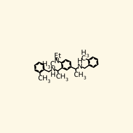 CCN(C)c1ccc(C(C)NCc2ccccc2C)cc1C(C)NCc1ccccc1C